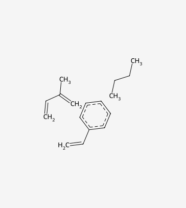 C=CC(=C)C.C=Cc1ccccc1.CCCC